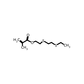 C=C(C)C(=O)OCCSCCSCC